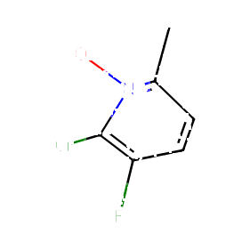 Cc1ccc(F)c(Cl)[n+]1[O-]